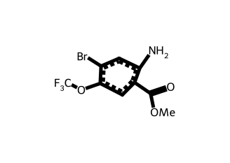 COC(=O)c1cc(OC(F)(F)F)c(Br)cc1N